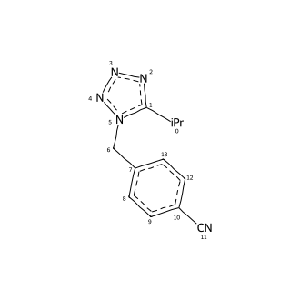 CC(C)c1nnnn1Cc1ccc(C#N)cc1